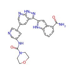 NC(=O)c1cccc2[nH]c(-c3n[nH]c4ncc(-c5cncc(NC(=O)N6CCOCC6)c5)cc34)cc12